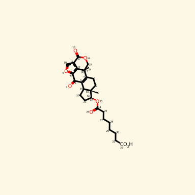 C[C@]12CCC3=C(C(=O)c4occ5c4[C@]3(C)COC5=O)C1CC[C@@H]2OC(=O)CCCCCCC(=O)O